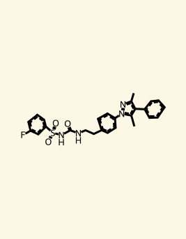 Cc1nn(-c2ccc(CCNC(=O)NS(=O)(=O)c3cccc(F)c3)cc2)c(C)c1-c1ccccc1